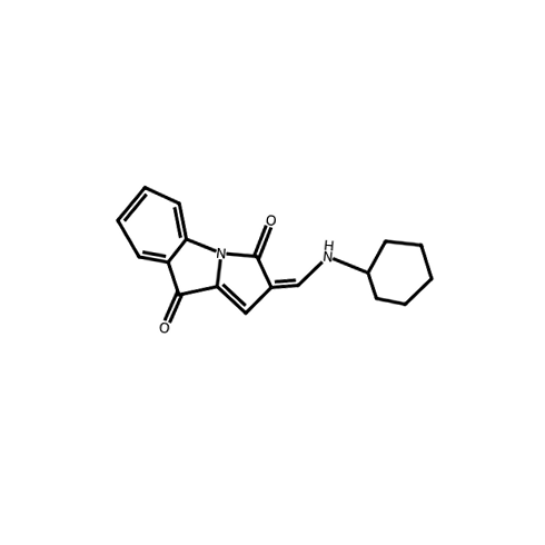 O=C1C2=C/C(=C/NC3CCCCC3)C(=O)N2c2ccccc21